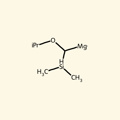 CC(C)O[CH]([Mg])[SiH](C)C